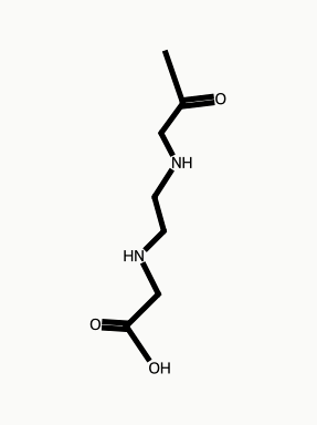 CC(=O)CNCCNCC(=O)O